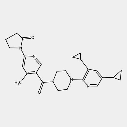 Cc1cc(N2CCCC2=O)ncc1C(=O)N1CCN(c2ncc(C3CC3)cc2C2CC2)CC1